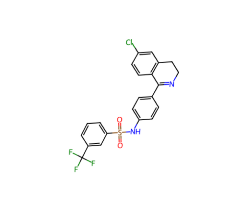 O=S(=O)(Nc1ccc(C2=NCCc3cc(Cl)ccc32)cc1)c1cccc(C(F)(F)F)c1